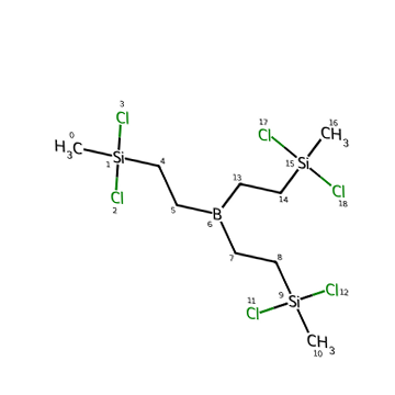 C[Si](Cl)(Cl)CCB(CC[Si](C)(Cl)Cl)CC[Si](C)(Cl)Cl